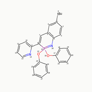 CC(C)(C)c1ccc2c(c1)C=C(c1ccccn1)P(Oc1ccccc1)(Oc1ccccc1)=N2